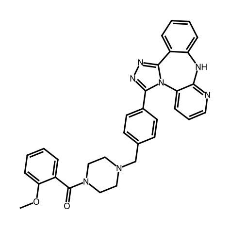 COc1ccccc1C(=O)N1CCN(Cc2ccc(-c3nnc4n3-c3cccnc3Nc3ccccc3-4)cc2)CC1